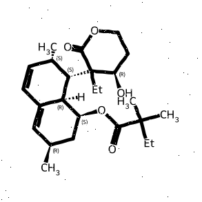 CCC(C)(C)C(=O)O[C@H]1C[C@@H](C)C=C2C=C[C@H](C)[C@H](C3(CC)C(=O)OCC[C@H]3O)[C@H]21